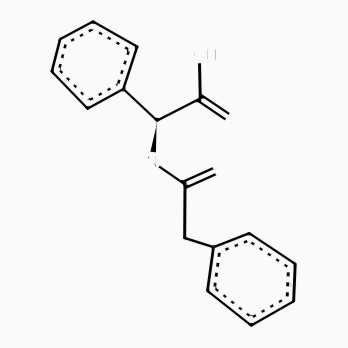 O=C(Cc1ccccc1)N[C@H](C(=O)O)c1ccccc1